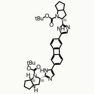 CC(C)(C)OC(=O)N1C2CCCC2C[C@H]1c1ncc(-c2ccc3c(c2)-c2ccc(-c4cnc([C@@H]5C[C@@H]6CCC[C@@H]6N5C(=O)OC(C)(C)C)[nH]4)cc2-3)[nH]1